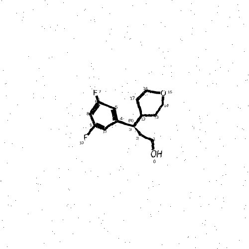 OCC[C@@H](c1cc(F)cc(F)c1)C1CCOCC1